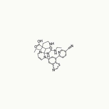 CCCC1(C(=O)O)CCNCC1C1(NC(=O)NCC)N=CC=CN1c1cc(-c2ccc(C#N)cn2)c2scnc2c1